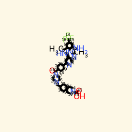 Cc1nc(N[C@H](C)c2cc(N)cc(C(F)(F)F)c2)c2cc(C3CCC(C(=O)N4CCN(CC5CCC6(CC5)CCN(C(=O)O)CC6)CC4)CC3)ncc2n1